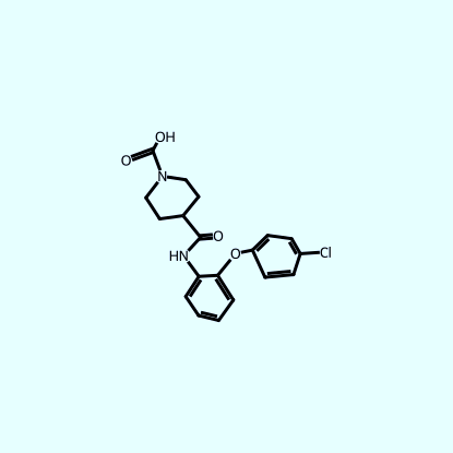 O=C(Nc1ccccc1Oc1ccc(Cl)cc1)C1CCN(C(=O)O)CC1